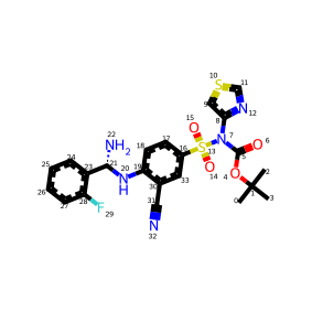 CC(C)(C)OC(=O)N(c1cscn1)S(=O)(=O)c1ccc(N[C@@H](N)c2ccccc2F)c(C#N)c1